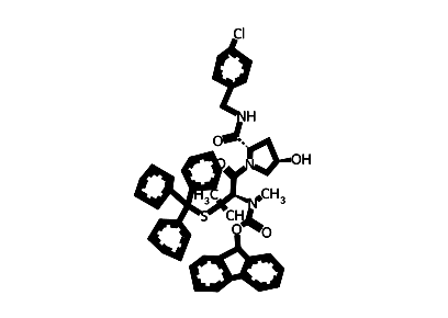 CN(C(=O)OC1c2ccccc2-c2ccccc21)[C@H](C(=O)N1C[C@H](O)C[C@H]1C(=O)NCc1ccc(Cl)cc1)C(C)(C)SC(c1ccccc1)(c1ccccc1)c1ccccc1